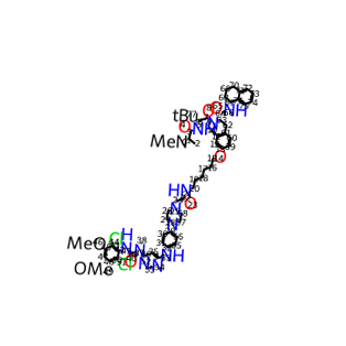 CN[C@@H](C)C(=O)N[C@H](C(=O)N1Cc2cc(OCCCCCCNC(=O)CN3CCN(c4ccc(Nc5cc(N(C)C(=O)Nc6c(Cl)c(OC)cc(OC)c6Cl)ncn5)cc4)CC3)ccc2C[C@H]1C(=O)N[C@@H]1CCCc2ccccc21)C(C)(C)C